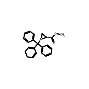 COC(=O)[C@@H]1CN1C(C1=CCCC=C1)(c1ccccc1)c1ccccc1